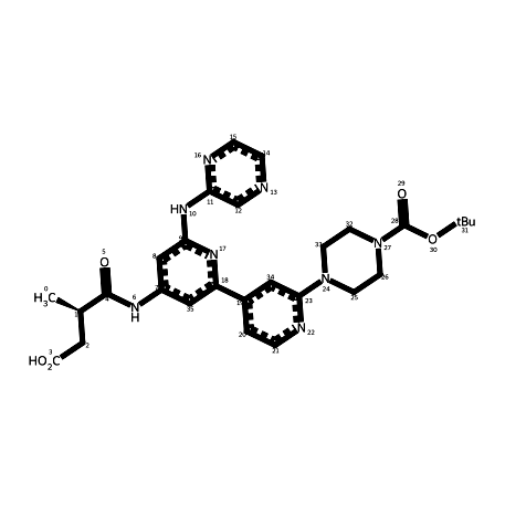 C[C@H](CC(=O)O)C(=O)Nc1cc(Nc2cnccn2)nc(-c2ccnc(N3CCN(C(=O)OC(C)(C)C)CC3)c2)c1